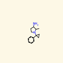 CC1C(N)CCN1C1(c2ccccc2)CC1